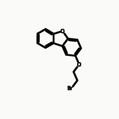 BrCCOc1ccc2oc3ccccc3c2c1